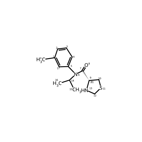 Cc1cccc(N(C(=O)[C@@H]2CSCN2)C(C)C)c1